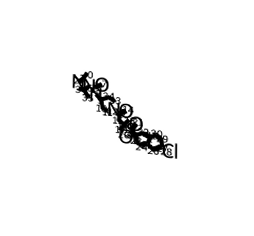 Cc1ncc2n1C(=O)N(C1CCN(C(=O)CC(C)(C)S(=O)(=O)c3ccc4cc(Cl)ccc4c3)CC1)C2